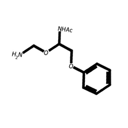 CC(=O)NC(COc1ccccc1)OCN